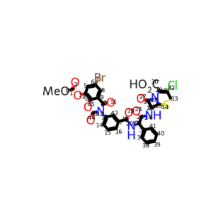 COC(=O)Oc1cc(Br)cc2c(=O)n(-c3cccc(C(=O)N[C@@H](C(=O)N[C@@H]4C(=O)N5C(C(=O)O)=C(Cl)CSC45)c4ccccc4)c3)c(=O)oc12